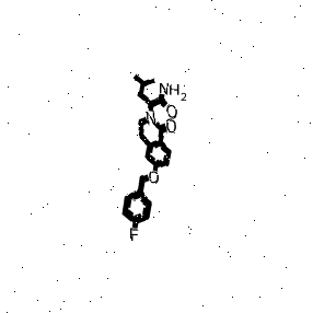 CC(C)CC(C(N)=O)N1CCc2cc(OCc3ccc(F)cc3)ccc2C1=O